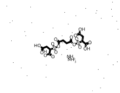 N.N.O=C(O)CC(C(=O)O)S(=O)(=O)OC(=O)CCC(=O)OS(=O)(=O)C(CC(=O)O)C(=O)O